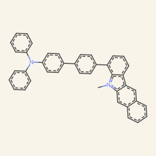 Cn1c2cc3ccccc3cc2c2cccc(-c3ccc(-c4ccc(N(c5ccccc5)c5ccccc5)cc4)cc3)c21